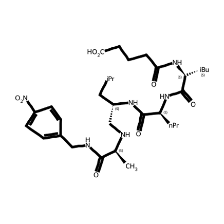 CCC[C@H](NC(=O)[C@@H](NC(=O)CCCC(=O)O)[C@@H](C)CC)C(=O)N[C@H](CN[C@@H](C)C(=O)NCc1ccc([N+](=O)[O-])cc1)CC(C)C